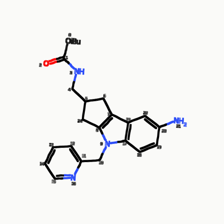 CC(C)COC(=O)NCC1Cc2c(n(Cc3ccccn3)c3ccc(N)cc23)C1